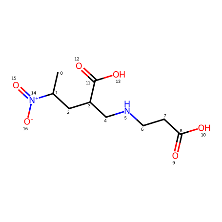 CC(CC(CNCCC(=O)O)C(=O)O)[N+](=O)[O-]